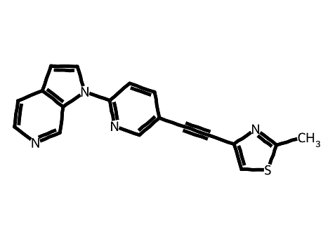 Cc1nc(C#Cc2ccc(-n3ccc4ccncc43)nc2)cs1